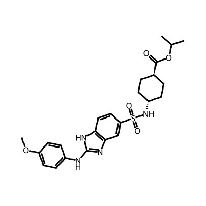 COc1ccc(Nc2nc3cc(S(=O)(=O)N[C@H]4CC[C@H](C(=O)OC(C)C)CC4)ccc3[nH]2)cc1